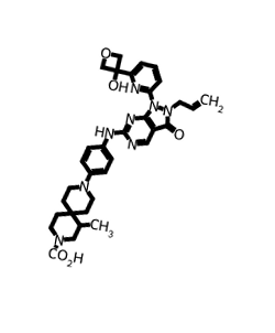 C=CCn1c(=O)c2cnc(Nc3ccc(N4CCC5(CCN(C(=O)O)CC5C)CC4)cc3)nc2n1-c1cccc(C2(O)COC2)n1